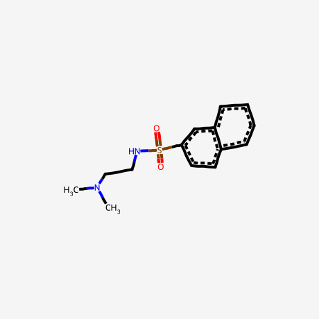 CN(C)CCNS(=O)(=O)c1ccc2ccccc2c1